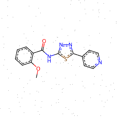 COc1ccccc1C(=O)Nc1nnc(-c2ccncc2)s1